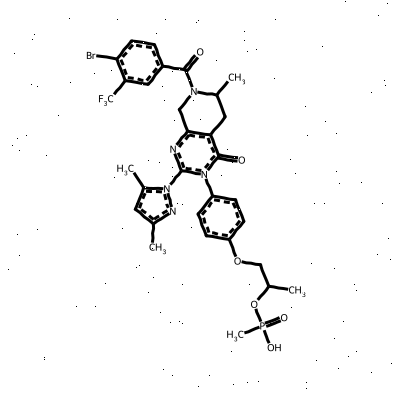 Cc1cc(C)n(-c2nc3c(c(=O)n2-c2ccc(OCC(C)OP(C)(=O)O)cc2)CC(C)N(C(=O)c2ccc(Br)c(C(F)(F)F)c2)C3)n1